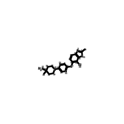 Cc1nc2ccc(Sc3cnc(N4CCC(C)(N)CC4)cn3)c(Cl)c2s1